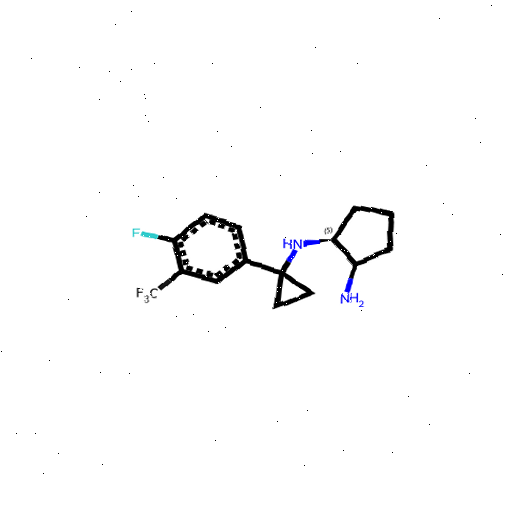 NC1CCC[C@@H]1NC1(c2ccc(F)c(C(F)(F)F)c2)CC1